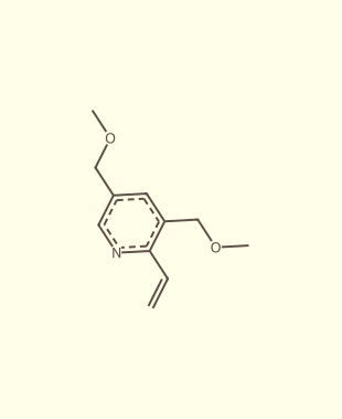 C=Cc1ncc(COC)cc1COC